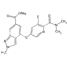 COC(=O)c1cc(Oc2cnc(C(=O)N(C)C)c(F)c2)c2cn(C)nc2c1